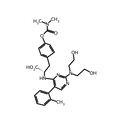 Cc1ccccc1-c1cnc(N(CCO)CCO)nc1N[C@@H](Cc1ccc(OC(=O)N(C)C)cc1)C(=O)O